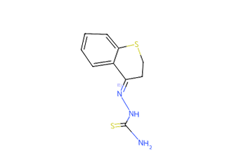 NC(=S)N/N=C1\CCSc2ccccc21